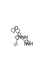 Cc1cc(CNCCC2(c3ccc(C4CCC4)cn3)CCOC3(CCCC3)C2)n[nH]1